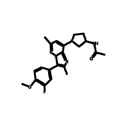 COc1ccc(-c2c(C)nc3c(N4CCC(NC(C)=O)C4)cc(C)nn23)cc1F